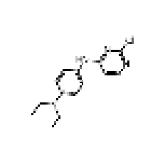 CCN(CC)c1ccc(Nc2ccnc(Cl)n2)cc1